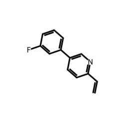 C=Cc1ccc(-c2cccc(F)c2)cn1